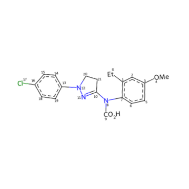 CCc1cc(OC)ccc1N(C(=O)O)C1=NN(c2ccc(Cl)cc2)CC1